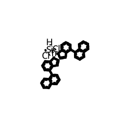 C[SiH](C)[Ti]([Cl])([Cl])([CH]1C=Cc2c(-c3cccc4ccccc34)cccc21)[CH]1C=Cc2c(-c3cccc4ccccc34)cccc21